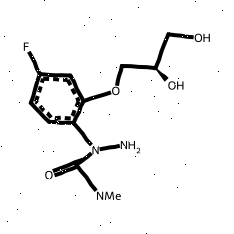 CNC(=O)N(N)c1ccc(F)cc1OC[C@H](O)CO